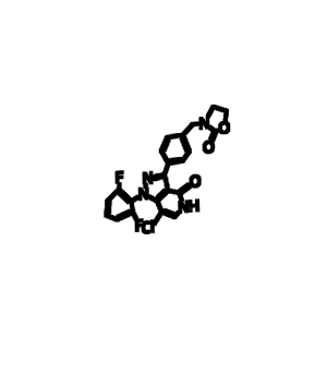 O=C1OCCN1Cc1ccc(-c2nn(-c3c(F)cccc3F)c3c(Cl)c[nH]c(=O)c23)cc1